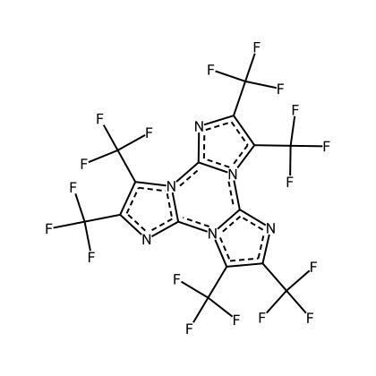 FC(F)(F)c1nc2n(c1C(F)(F)F)c1nc(C(F)(F)F)c(C(F)(F)F)n1c1nc(C(F)(F)F)c(C(F)(F)F)n21